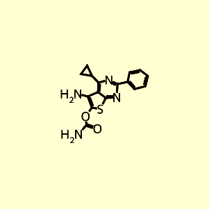 NC(=O)Oc1sc2nc(-c3ccccc3)nc(C3CC3)c2c1N